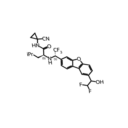 CC(C)C[C@H](N[C@@H](c1ccc2c(c1)oc1ccc(C(O)C(F)F)cc12)C(F)(F)F)C(=O)NC1(C#N)CC1